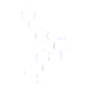 C/C=N\C(=C/C(C)C(F)F)CC/C(=C(/N)c1ccc(CC2CCCCC2)cn1)N(C)N